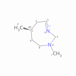 C[C@H]1C/C=N/CN(C)CC1